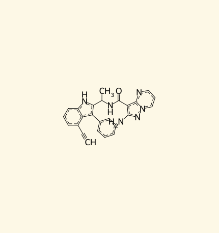 C#Cc1cccc2[nH]c(C(C)NC(=O)c3c(N)nn4cccnc34)c(-c3ccccc3)c12